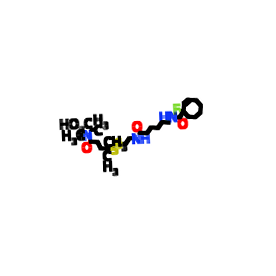 C[C@@H](C(=O)O)N(C)C(=O)CCC(C)(C)SSCCNC(=O)CCCCCNC(=O)C1(F)C#CCCCCC1